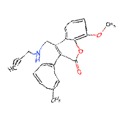 C#CCNCc1c(-c2cccc(C)c2)c(=O)oc2c(OC)cccc12